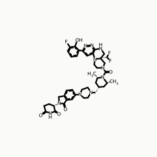 C[C@@H]1C[C@H](CN2CCN(c3ccc4c(c3)C(=O)N([C@H]3CCC(=O)NC3=O)C4)CC2)C[C@H](C)N1C(=O)N1CCN2c3cc(-c4cccc(F)c4O)nnc3NC[C@@]2(C(F)F)C1